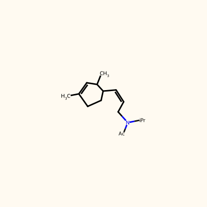 CC(=O)N(C/C=C\C1CCC(C)=CC1C)C(C)C